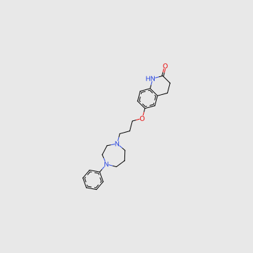 O=C1CCc2cc(OCCCN3CCCN(c4ccccc4)CC3)ccc2N1